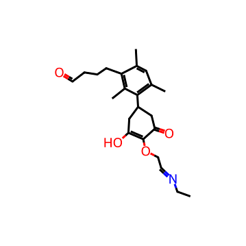 CCN=CCOC1=C(O)CC(c2c(C)cc(C)c(CCCC=O)c2C)CC1=O